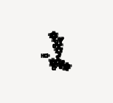 CN(CC(CCN1CCC(N(CC2CC2)C(=O)OCc2ccccc2)CC1)c1cccc(Cl)c1)S(=O)(=O)c1ccccc1.Cl